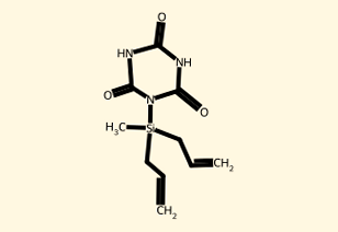 C=CC[Si](C)(CC=C)n1c(=O)[nH]c(=O)[nH]c1=O